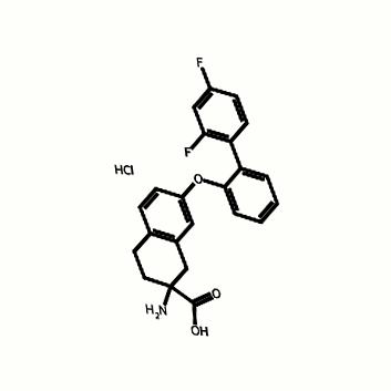 Cl.NC1(C(=O)O)CCc2ccc(Oc3ccccc3-c3ccc(F)cc3F)cc2C1